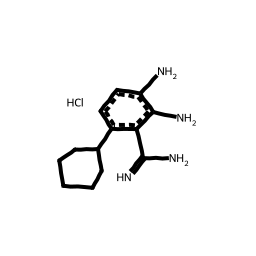 Cl.N=C(N)c1c(C2CCCCC2)ccc(N)c1N